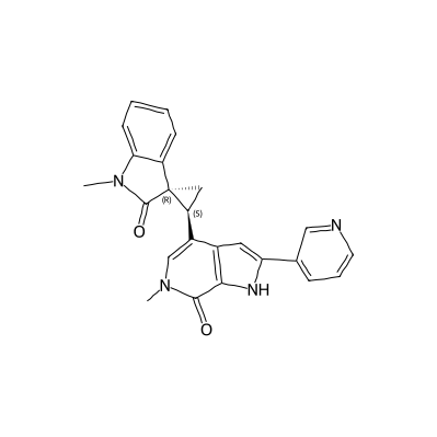 CN1C(=O)[C@@]2(C[C@H]2c2cn(C)c(=O)c3[nH]c(-c4cccnc4)cc23)c2ccccc21